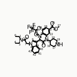 CCN(CC)C(=O)Cn1cc(C2C(=O)N(C3CCNCC3)c3cc(C(=O)OC)ccc3N2OC(=O)C(F)(F)F)c2ccccc21